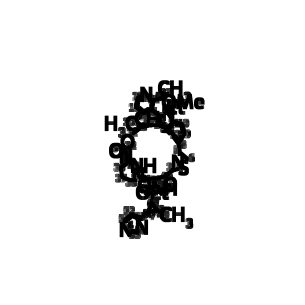 CCO[C@@H]1C2=NC(CS2)c2ccc3c(c2)c(c(-c2cccnc2[C@H](C)OC)n3CC)CC(C)(C)COC(=O)[C@@H]2CCCN(N2)C(=O)[C@H]1NC(=O)[C@@H]1[C@@H](C)[C@H]1c1ccncn1